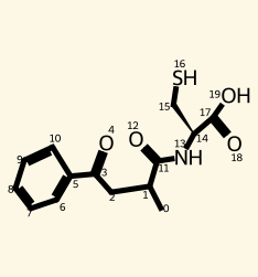 CC(CC(=O)c1ccccc1)C(=O)N[C@@H](CS)C(=O)O